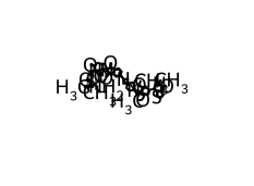 COc1cc(-c2cn(C)c(=O)c3ccsc23)cc(OC)c1CN1CCC2(CC1)CN(c1ccc3c(c1)C(=O)N(C1CCC(=O)N(COC(=O)[C@@H](N)C(C)C)C1=O)C3=O)C2